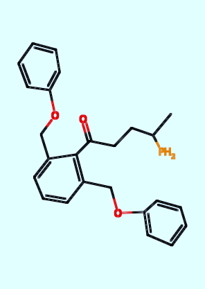 CC(P)CCC(=O)c1c(COc2ccccc2)cccc1COc1ccccc1